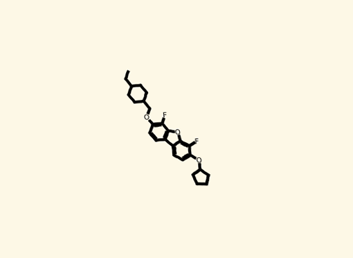 CCC1CCC(COc2ccc3c(oc4c(F)c(OC5CCCC5)ccc43)c2F)CC1